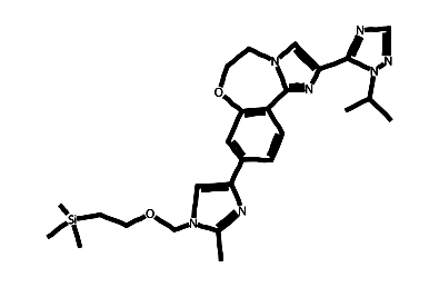 Cc1nc(-c2ccc3c(c2)OCCn2cc(-c4ncnn4C(C)C)nc2-3)cn1COCC[Si](C)(C)C